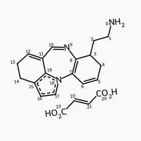 NCCC1CC=CC2=C1N=CC1=CCCc3ccn2c31.O=C(O)/C=C/C(=O)O